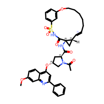 COc1ccc2c(O[C@@H]3C[C@@H](C(=O)N[C@]45C[C@H]4/C=C/CCCCCOc4cccc(c4)S(=O)(=O)NC5=O)N(C(C)=O)C3)cc(-c3ccccc3)nc2c1